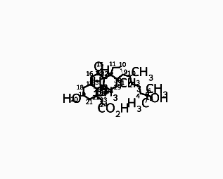 C[C@H](CCCC(C)(C)O)[C@H]1CC[C@H]2[C@@H]3C(=O)C=C4C[C@@H](O)CC(CC(=O)O)[C@]4(C)[C@H]3CC[C@]12C